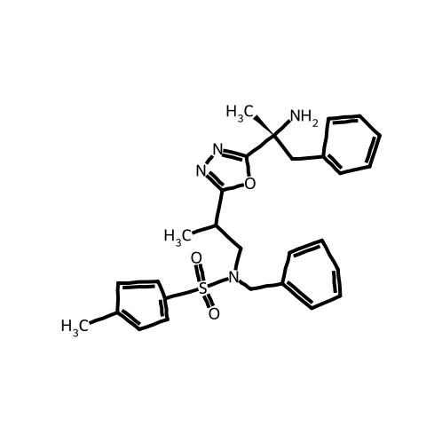 Cc1ccc(S(=O)(=O)N(Cc2ccccc2)CC(C)c2nnc([C@](C)(N)Cc3ccccc3)o2)cc1